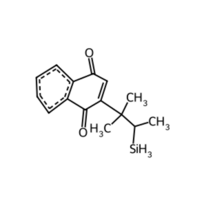 CC([SiH3])C(C)(C)C1=CC(=O)c2ccccc2C1=O